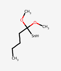 CCCC[C]([SnH])(OC)OC